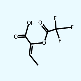 CC=C(OC(=O)C(F)(F)F)C(=O)O